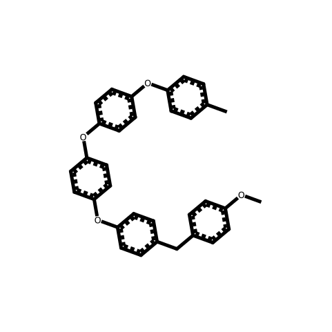 COc1ccc(Cc2ccc(Oc3ccc(Oc4ccc(Oc5ccc(C)cc5)cc4)cc3)cc2)cc1